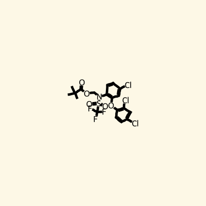 CC(C)(C)C(=O)OCN(c1ccc(Cl)cc1Oc1ccc(Cl)cc1Cl)S(=O)(=O)C(F)(F)F